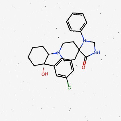 O=C1NCN(c2ccccc2)C12CCN([C@@H]1CCCC[C@]1(O)c1cccc(Cl)c1)CC2